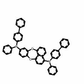 c1ccc(-c2ccc(N(c3ccccc3)c3ccc4c(c3)Oc3cccc5c(N(c6ccccc6)c6ccc(-c7ccccc7)cc6)ccc(c35)O4)cc2)cc1